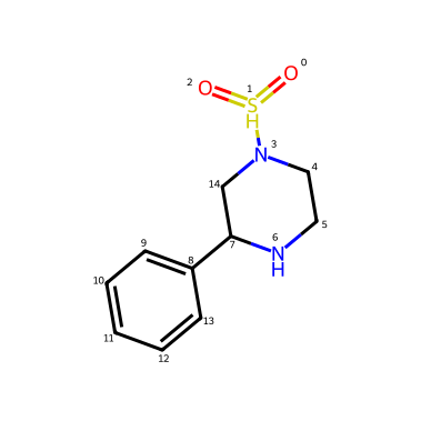 O=[SH](=O)N1CCNC(c2ccccc2)C1